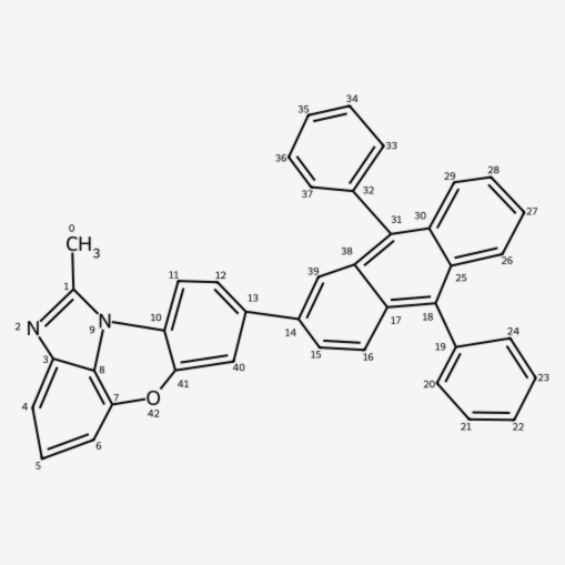 Cc1nc2cccc3c2n1-c1ccc(-c2ccc4c(-c5ccccc5)c5ccccc5c(-c5ccccc5)c4c2)cc1O3